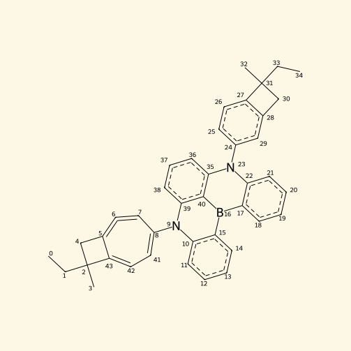 CCC1(C)CC2=C=CC(N3c4ccccc4B4c5ccccc5N(c5ccc6c(c5)CC6(C)CC)c5cccc3c54)=CC=C21